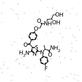 CC(C(N)=O)N(c1ccc(F)cc1)c1nc(N)c(C(=O)c2ccc(OCC(=O)NCC(O)CO)cc2)s1